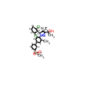 Cc1cc(-c2cccc(S(C)(=O)=O)c2)ccc1-n1nc(C(C)(C)O)cc1-c1c(Cl)cccc1Cl